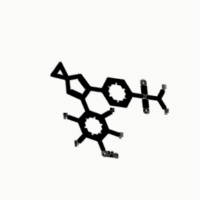 COc1c(F)c(F)c(C2=CC3(C=C2c2ccc(S(=O)(=O)C(F)F)cc2)CC3)c(F)c1F